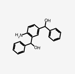 Nc1ccc(C(O)c2ccccc2)cc1C(O)c1ccccc1